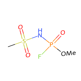 COP(=O)(F)NS(C)(=O)=O